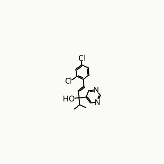 CC(C)C(O)(C=Cc1ccc(Cl)cc1Cl)c1cncnc1